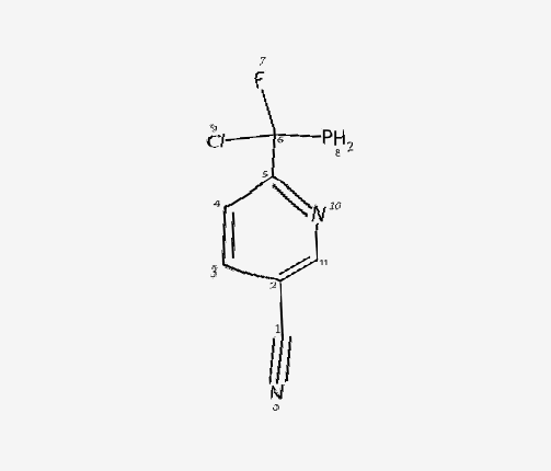 N#Cc1ccc(C(F)(P)Cl)nc1